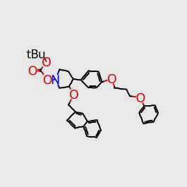 CC(C)(C)OC(=O)ON1CCC(c2ccc(OCCCOc3ccccc3)cc2)C(OCc2ccc3ccccc3c2)C1